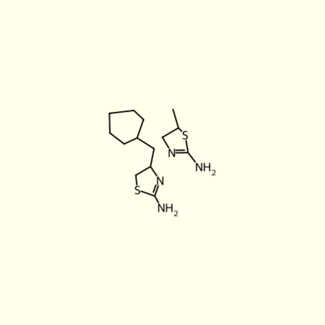 CC1CN=C(N)S1.NC1=NC(CC2CCCCC2)CS1